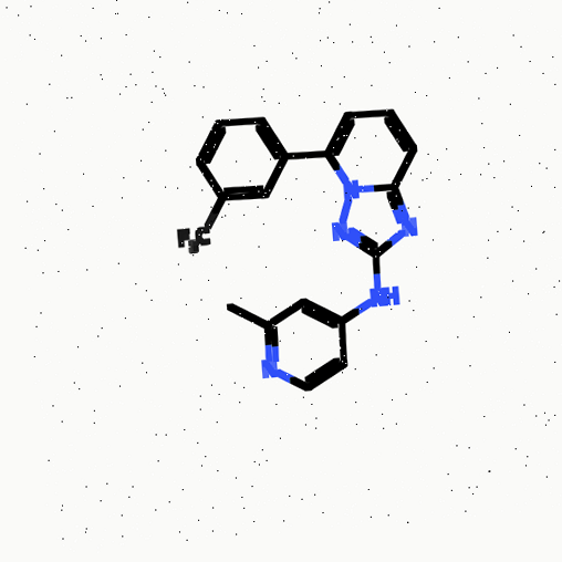 Cc1cc(Nc2nc3cccc(-c4cccc(C(F)(F)F)c4)n3n2)ccn1